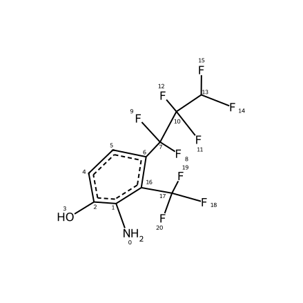 Nc1c(O)ccc(C(F)(F)C(F)(F)C(F)F)c1C(F)(F)F